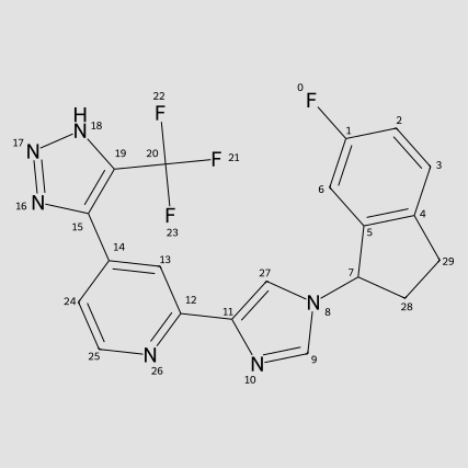 Fc1ccc2c(c1)C(n1cnc(-c3cc(-c4nn[nH]c4C(F)(F)F)ccn3)c1)CC2